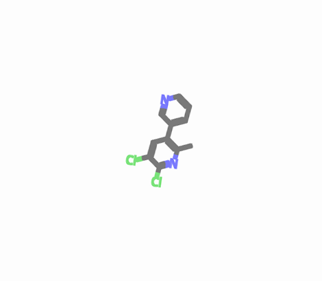 Cc1nc(Cl)c(Cl)cc1-c1cccnc1